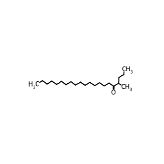 CCCCCCCCCCCCCCCCC(=O)C(C)CCC